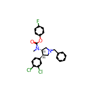 CN(C(=O)Oc1ccc(F)cc1)[C@@H]1CN(Cc2ccccc2)C[C@H]1c1ccc(Cl)c(Cl)c1